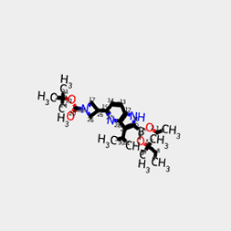 CCOB(OC(C)(C)CC)c1[nH]c2ccc(C3CN(C(=O)OC(C)(C)C)C3)nc2c1C(C)C